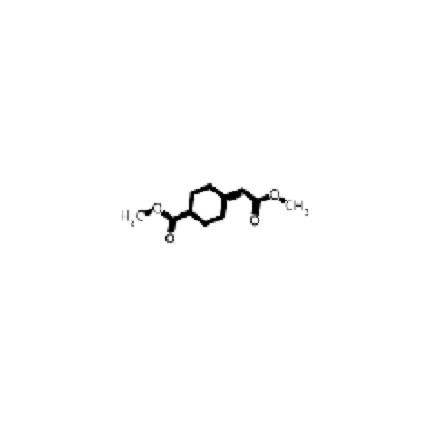 COC(=O)C=C1CCC(C(=O)OC)CC1